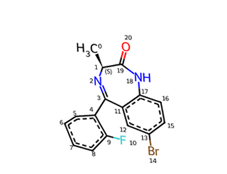 C[C@@H]1N=C(c2ccccc2F)c2cc(Br)ccc2NC1=O